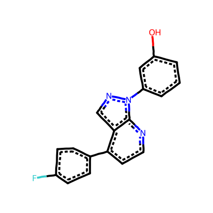 Oc1cccc(-n2ncc3c(-c4ccc(F)cc4)ccnc32)c1